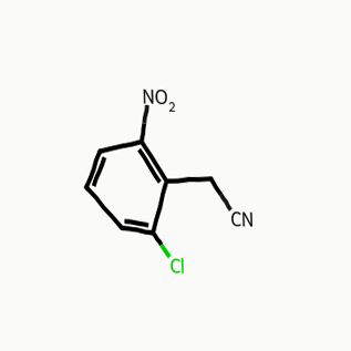 N#CCc1c(Cl)cccc1[N+](=O)[O-]